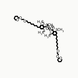 COC(OOOC(OC)c1c(SC)cc(CCCCCCCCOCCOC2CCCCO2)cc1SC)c1c(SC)cc(CCCCCCCCOCCOC2CCCCO2)cc1SC